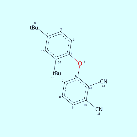 CC(C)(C)c1ccc(Oc2cccc(C#N)c2C#N)c(C(C)(C)C)c1